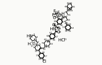 C[C@@]1(CN2CCNCC2)CCC(c2ccc(Cl)cc2)=C(CN2CCN(c3ccc(C(=O)NS(=O)(=O)c4ccc(N[C@H](CCN5CC6CCC5C6)CSc5ccccc5)c(S(=O)(=O)C(F)(F)F)c4)cc3)CC2)C1.Cl